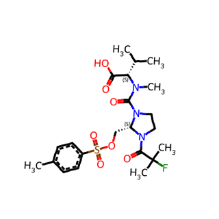 Cc1ccc(S(=O)(=O)OC[C@@H]2N(C(=O)N(C)[C@H](C(=O)O)C(C)C)CCN2C(=O)C(C)(C)F)cc1